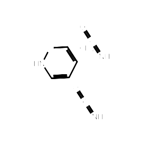 C.C1=CNOC=C1.N=C=O.N=C=O